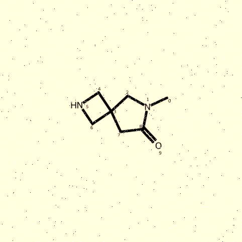 CN1CC2(CNC2)CC1=O